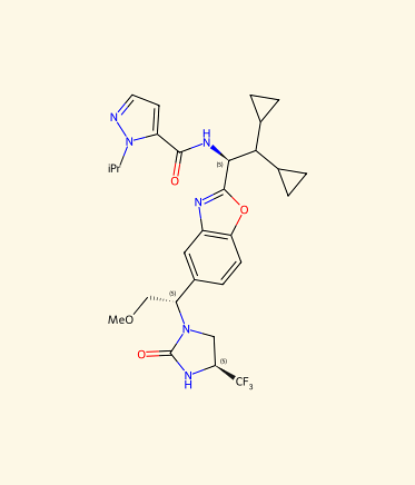 COC[C@H](c1ccc2oc([C@@H](NC(=O)c3ccnn3C(C)C)C(C3CC3)C3CC3)nc2c1)N1C[C@@H](C(F)(F)F)NC1=O